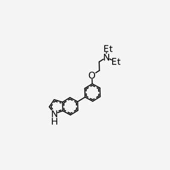 CCN(CC)CCOc1cccc(-c2ccc3[nH]ccc3c2)c1